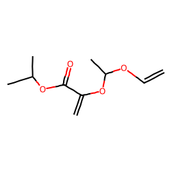 C=COC(C)OC(=C)C(=O)OC(C)C